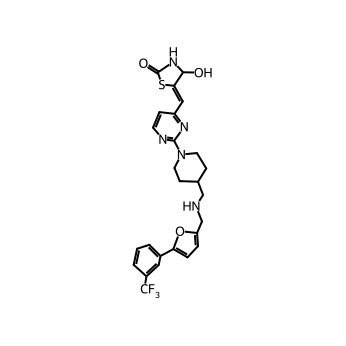 O=C1NC(O)/C(=C/c2ccnc(N3CCC(CNCc4ccc(-c5cccc(C(F)(F)F)c5)o4)CC3)n2)S1